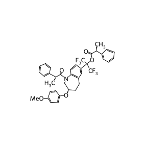 COc1ccc(O[C@@H]2CCc3cc(C(OC(=O)[C@@H](C)c4ccccc4)(C(F)(F)F)C(F)(F)F)ccc3N(C(=O)[C@@H](C)c3ccccc3)C2)cc1